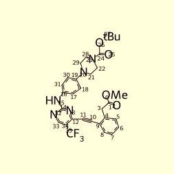 COC(=O)Cc1ccccc1C#Cc1nc(Nc2ccc(N3CCN(C(=O)OC(C)(C)C)CC3)cc2)ncc1C(F)(F)F